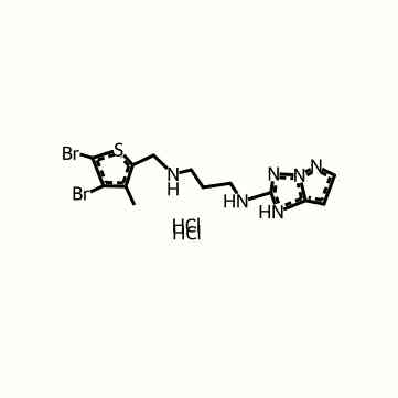 Cc1c(CNCCCNc2nn3nccc3[nH]2)sc(Br)c1Br.Cl.Cl